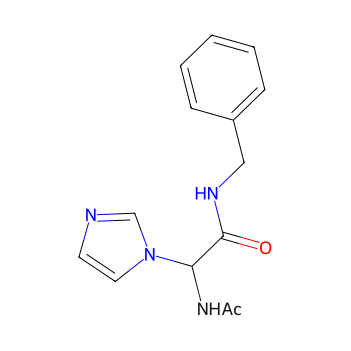 CC(=O)NC(C(=O)NCc1ccccc1)n1ccnc1